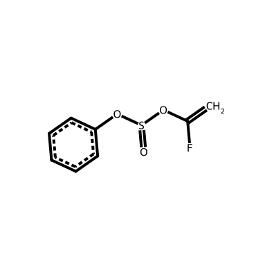 C=C(F)OS(=O)Oc1ccccc1